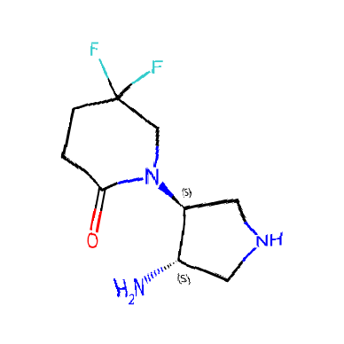 N[C@H]1CNC[C@@H]1N1CC(F)(F)CCC1=O